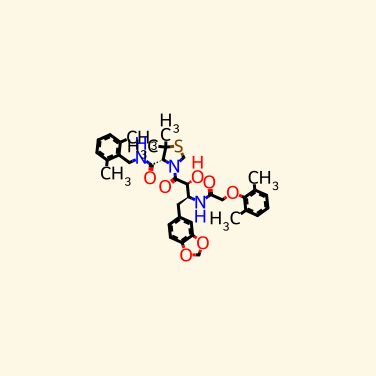 Cc1cccc(C)c1CNC(=O)[C@H]1N(C(=O)[C@@H](O)[C@H](Cc2ccc3c(c2)OCO3)NC(=O)COc2c(C)cccc2C)CSC1(C)C